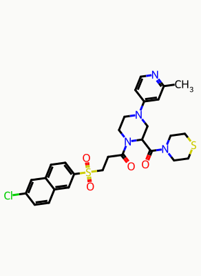 Cc1cc(N2CCN(C(=O)CCS(=O)(=O)c3ccc4cc(Cl)ccc4c3)C(C(=O)N3CCSCC3)C2)ccn1